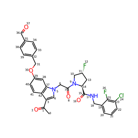 CC(=O)c1cn(CC(=O)N2C[C@H](F)C[C@H]2C(=O)NCc2cccc(Cl)c2F)c2cc(OCc3ccc(C=O)cc3)ccc12